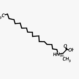 CCCCCCCCCCCCCCCCCCN[C@@H](C)C(=O)O